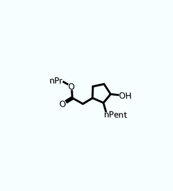 CCCCCC1C(O)CCC1CC(=O)OCCC